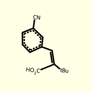 CC(C)(C)C(=Cc1cccc(C#N)c1)C(=O)O